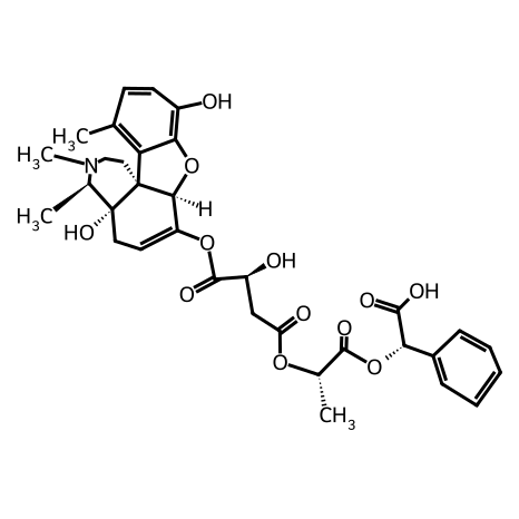 Cc1ccc(O)c2c1[C@]13CCN(C)[C@H](C)[C@]1(O)CC=C(OC(=O)[C@@H](O)CC(=O)O[C@@H](C)C(=O)O[C@H](C(=O)O)c1ccccc1)[C@@H]3O2